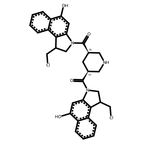 O=C([C@@H]1CNC[C@H](C(=O)N2CC(CCl)c3c2cc(O)c2ccccc32)C1)N1CC(CCl)c2c1cc(O)c1ccccc21